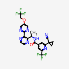 CC(NC(=O)c1cc(C(F)(F)F)nc(C2(C#N)CC2)c1)c1nccnc1-c1ncc(OCC(F)(F)F)cn1